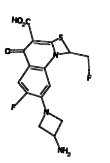 NC1CN(c2cc3c(cc2F)c(=O)c(C(=O)O)c2n3C(CF)S2)C1